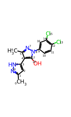 Cc1cc(-c2c(C)nn(-c3ccc(Cl)c(Cl)c3)c2O)[nH]n1